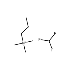 CCC[N+](C)(C)C.FC(F)F